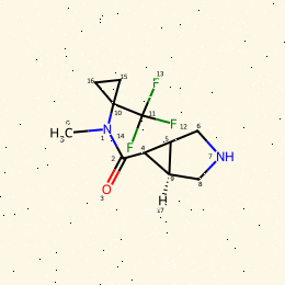 CN(C(=O)C1C2CNC[C@H]21)C1(C(F)(F)F)CC1